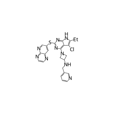 CCc1[nH]c2nc(Sc3cnc4nccnc4c3)nc(N3CC(NCc4cccnc4)C3)c2c1Cl